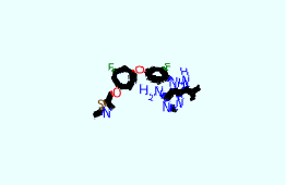 Cc1ncc(COC2=CC(F)=CC(Oc3ccc(Nc4c(N)ncnc4C(=N)C(C)C)c(F)c3)=CC2)s1